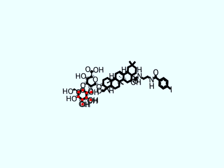 CC1(C)CC[C@]2(C(=O)NCCNC(=O)c3ccc(I)cc3)[C@H](O)C[C@]3(C)C(=CC[C@@H]4[C@@]5(C)CC[C@H](O[C@@H]6O[C@H](C(=O)O)[C@@H](O)[C@H](O[C@@H]7OC[C@@H](O)[C@H](O)[C@H]7O)[C@H]6O[C@@H]6O[C@H](CO)[C@H](O)[C@H](O)[C@H]6O)[C@@](C)(C=O)[C@@H]5CC[C@]43C)[C@@H]2C1